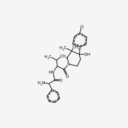 CC(C)C(NC(=O)C(N)c1ccccc1)C(=O)N1CCC(O)(c2ccc(Cl)cc2)C(C)(C)C1